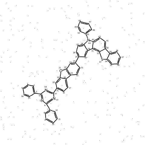 c1ccc(-c2nc(-c3ccccc3)nc(-c3ccc4c(c3)oc3cc(-c5ccc6c(c5)c5c7sc8ccccc8c7ccc5n6-c5ccccc5)ccc34)n2)cc1